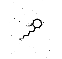 CCCCCC1CCCCCC1N